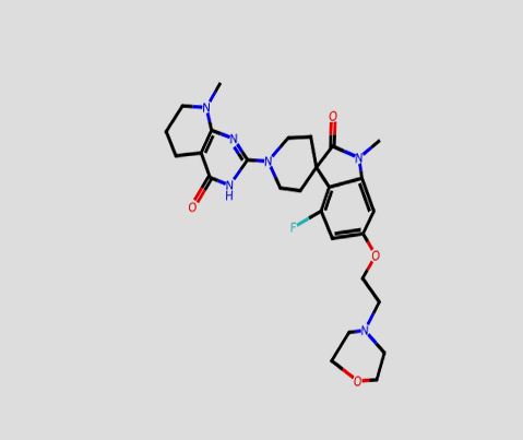 CN1CCCc2c1nc(N1CCC3(CC1)C(=O)N(C)c1cc(OCCN4CCOCC4)cc(F)c13)[nH]c2=O